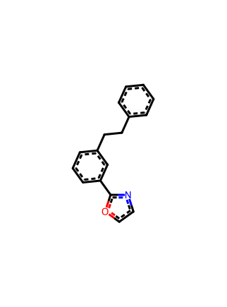 c1ccc(CCc2cccc(-c3ncco3)c2)cc1